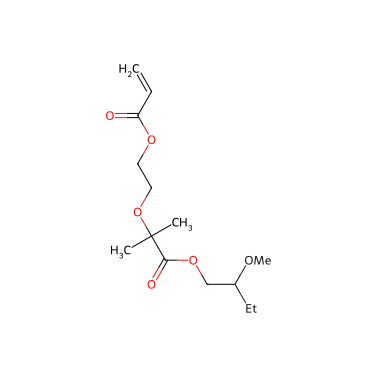 C=CC(=O)OCCOC(C)(C)C(=O)OCC(CC)OC